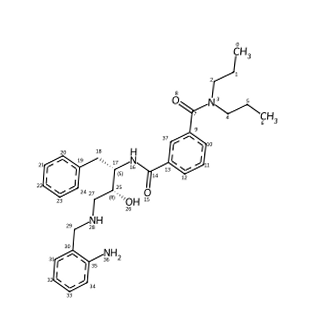 CCCN(CCC)C(=O)c1cccc(C(=O)N[C@@H](Cc2ccccc2)[C@H](O)CNCc2ccccc2N)c1